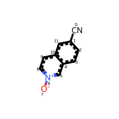 N#Cc1ccc2c[n+]([O-])ccc2c1